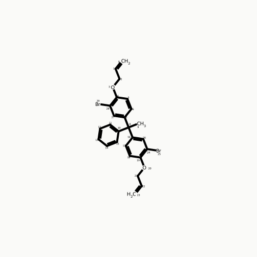 C=CCOc1ccc(C(C)(c2ccccc2)c2ccc(OCC=C)c(Br)c2)cc1Br